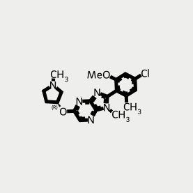 COc1cc(Cl)cc(C)c1-c1nc2nc(O[C@@H]3CCN(C)C3)cnc2n1C